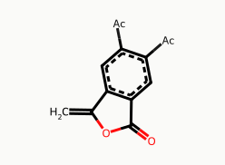 C=C1OC(=O)c2cc(C(C)=O)c(C(C)=O)cc21